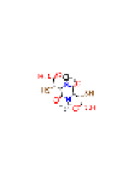 CN1C(=O)C(C(S)C(=O)O)N(C)C(=O)C1C(S)C(=O)O